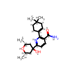 C[C@@H]1CC(O)(c2ccc(C(N)=O)c(C3=CCC(C)(C)CC3)n2)C[C@H](C)O1